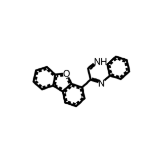 N=C/C(=N\c1ccccc1)c1cccc2c1oc1ccccc12